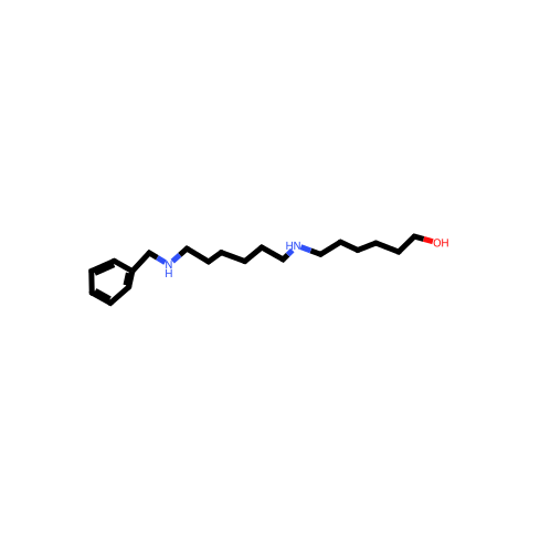 OCCCCCCNCCCCCCNCc1ccccc1